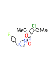 COC(=O)c1cc(Cl)c(OC)cc1/C=C/C(=O)N1CCN(Cc2ccc(F)cc2)C[C@H]1C